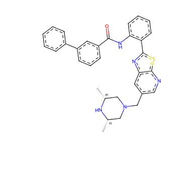 C[C@@H]1CN(Cc2cnc3sc(-c4ccccc4NC(=O)c4cccc(-c5ccccc5)c4)nc3c2)C[C@H](C)N1